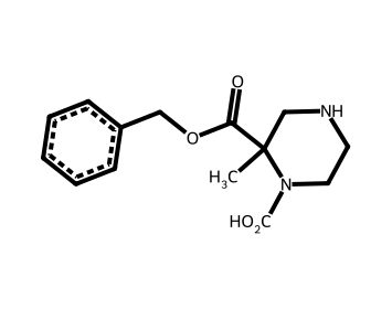 CC1(C(=O)OCc2ccccc2)CNCCN1C(=O)O